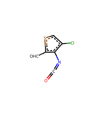 O=C=Nc1c(Cl)csc1C=O